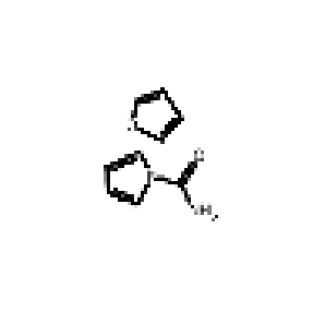 NC(=O)n1cccc1.c1ccoc1